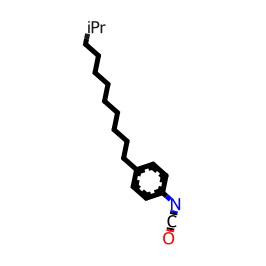 CC(C)CCCCCCCCCc1ccc(N=C=O)cc1